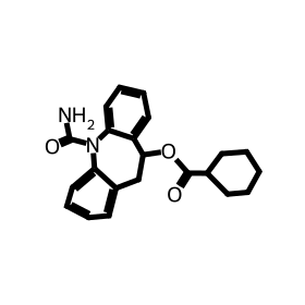 NC(=O)N1c2ccccc2CC(OC(=O)C2CCCCC2)c2ccccc21